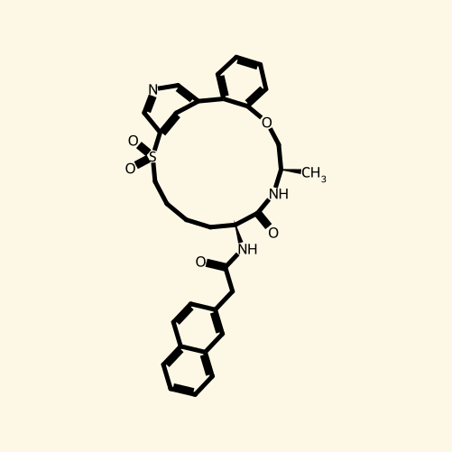 C[C@@H]1COc2ccccc2-c2cncc(c2)S(=O)(=O)CCCC[C@H](NC(=O)Cc2ccc3ccccc3c2)C(=O)N1